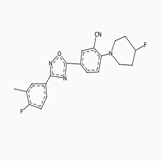 Cc1cc(-c2noc(-c3ccc(N4CCC(F)CC4)c(C#N)c3)n2)ccc1F